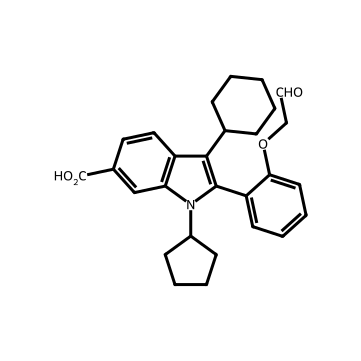 O=CCOc1ccccc1-c1c(C2CCCCC2)c2ccc(C(=O)O)cc2n1C1CCCC1